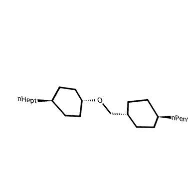 CCCCCCC[C@H]1CC[C@H](OC[C@H]2CC[C@H](CCCCC)CC2)CC1